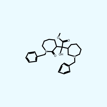 COC(=O)C(O)(C1CCCCN(Cc2ccccc2)C1)C1CCCCN(Cc2ccccc2)C1=O